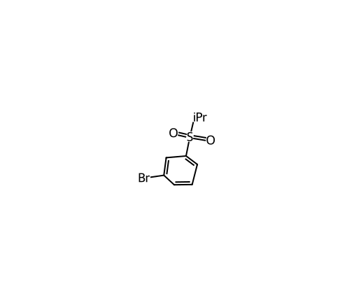 CC(C)S(=O)(=O)c1cccc(Br)c1